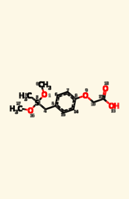 CO[Si](C)(Cc1ccc(OCC(=O)O)cc1)OC